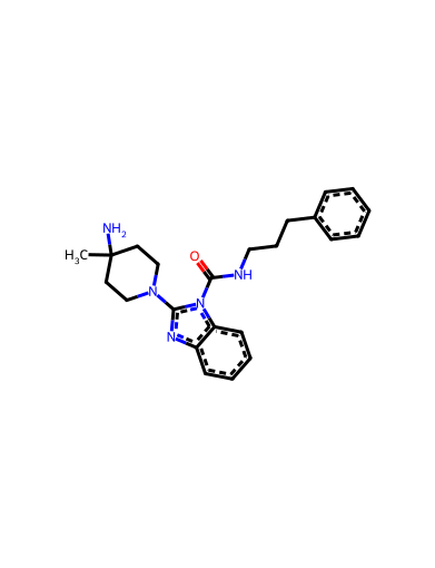 CC1(N)CCN(c2nc3ccccc3n2C(=O)NCCCc2ccccc2)CC1